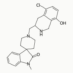 CN1C(=O)C2(CCN(CC3Cc4c(Cl)ccc(O)c4CN3)CC2)c2ccccc21